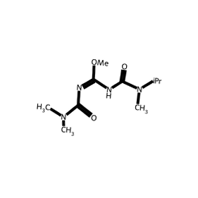 COC(=NC(=O)N(C)C)NC(=O)N(C)C(C)C